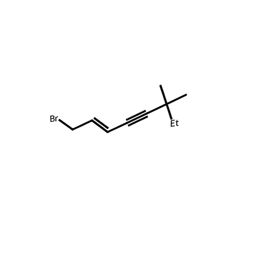 CCC(C)(C)C#CC=CCBr